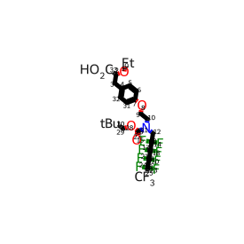 CCOC(Cc1ccc(OCCN(CC(F)(F)C(F)(F)C(F)(F)C(F)(F)C(F)(F)F)C(=O)OCC(C)(C)C)cc1)C(=O)O